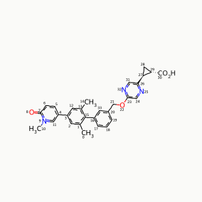 Cc1cc(-c2ccc(=O)n(C)c2)cc(C)c1-c1cccc(COc2cnc([C@H]3C[C@@H]3C(=O)O)cn2)c1